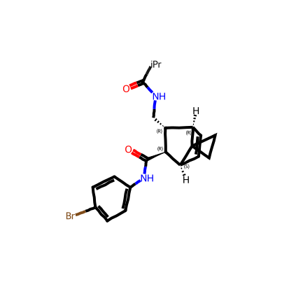 CC(C)C(=O)NC[C@H]1[C@H](C(=O)Nc2ccc(Br)cc2)[C@@H]2C=C[C@H]1C21CC1